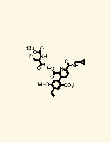 C=Cc1cc(C(=O)O)c(-c2ccc(C(=O)NCC3CC3)nc2C(=O)OCOC(=O)C(CC(C)C)NC(=O)OC(C)(C)C)cc1OC